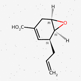 C=CC[C@H]1C=C(C(=O)O)C[C@H]2O[C@@H]12